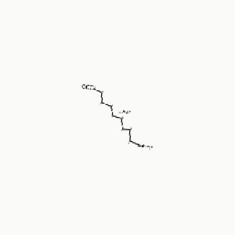 CCCCCCCCCCCCCCCC(=O)[O-].[Au+]